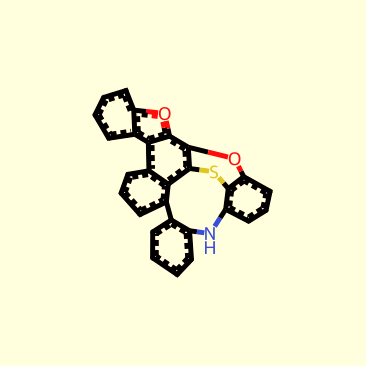 c1ccc2c(c1)Nc1cccc3c1Sc1c(c4oc5ccccc5c4c4cccc-2c14)O3